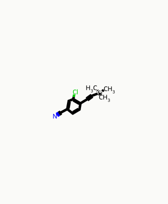 C[Si](C)(C)C#Cc1ccc(C#N)cc1Cl